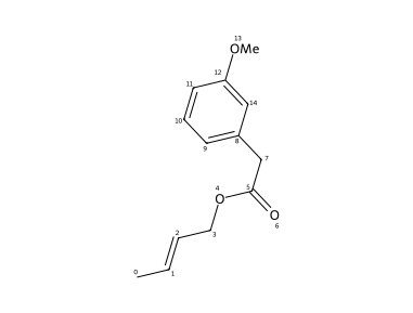 CC=CCOC(=O)Cc1cccc(OC)c1